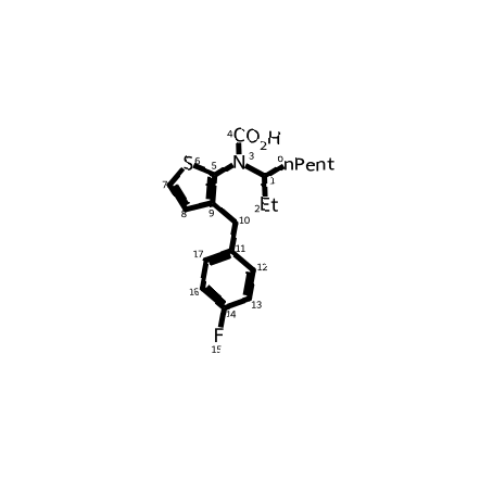 CCCCCC(CC)N(C(=O)O)c1sccc1Cc1ccc(F)cc1